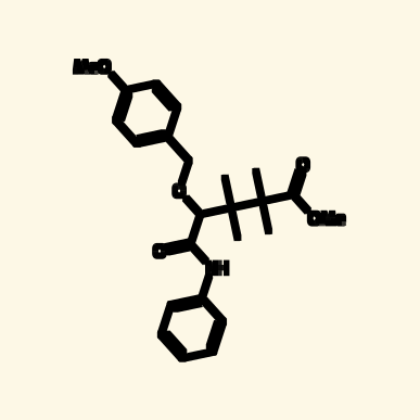 COC(=O)C(C)(C)C(C)(C)C(OCc1ccc(OC)cc1)C(=O)Nc1ccccc1